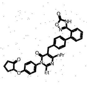 CCCc1nc(CC)n(-c2ccc(OC3CCCC3=O)cc2)c(=O)c1Cc1ccc(-c2ccccc2-c2noc(=O)[nH]2)cc1